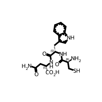 NC(=O)C[C@H](NC(=O)[C@H](Cc1c[nH]c2ccccc12)NC(=O)[C@@H](N)CS)C(=O)O